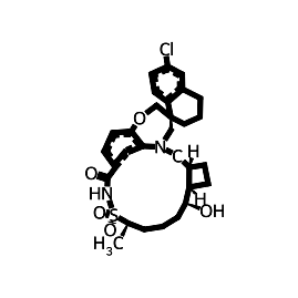 C[C@@H]1CCC[C@H](O)[C@@H]2CC[C@H]2CN2C[C@@]3(CCCc4cc(Cl)ccc43)COc3ccc(cc32)C(=O)NS1(=O)=O